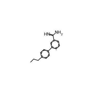 CCCc1ccc(-c2[c]ccc(C(=N)N)c2)cc1